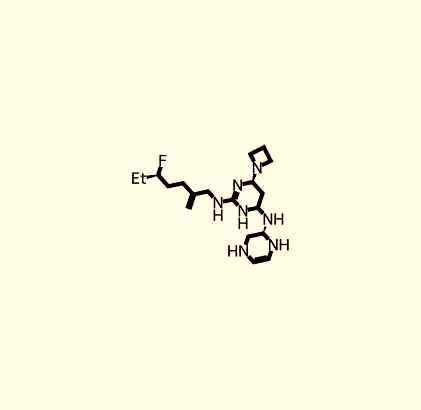 C=C(CC[C@H](F)CC)CNC1=N[C@@H](N2CCC2)CC(N[C@H]2CNC=CN2)N1